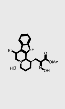 CCC1CN2CCC[C@H](CC(=NO)C(=O)OC)C2c2[nH]c3ccccc3c21.Cl